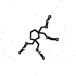 O=C=NCC1(CN=C=O)CCCC(CN=C=O)(CN=C=O)C1